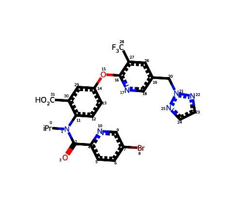 CC(C)N(C(=O)c1ccc(Br)cn1)c1ccc(Oc2ncc(Cn3nccn3)cc2C(F)(F)F)cc1C(=O)O